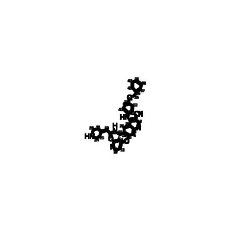 N#Cc1cnc2cc(Oc3ccncc3)c(CNC(=O)C=C3CCNCC3)cc2c1Nc1ccc(OCc2ccccc2)cc1